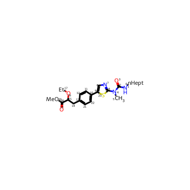 CCCCCCCNC(=O)N(C)c1ncc(-c2ccc(CC(OCC)C(=O)OC)cc2)s1